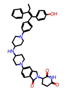 CCC(=C(c1ccc(O)cc1)c1ccc(N2CCC(NC3CCN(c4ccc5c(c4)CN(C4CCC(=O)NC4=O)C5=O)CC3)CC2)cc1)c1ccccc1